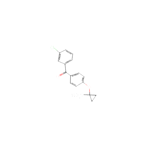 O=C(c1ccc(OC2(C(=O)O)CC2)cc1)c1cccc(Cl)c1